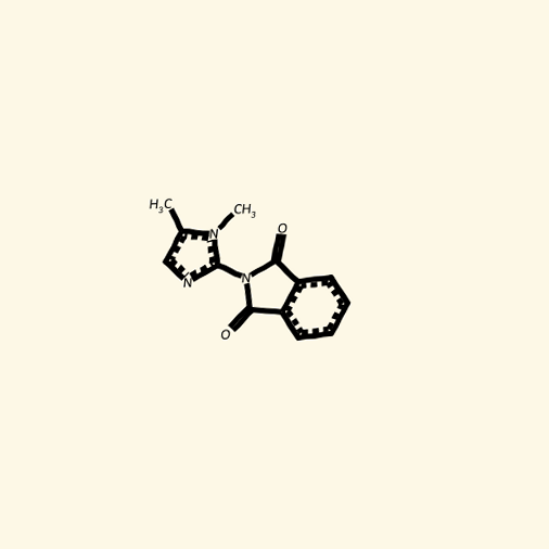 Cc1cnc(N2C(=O)c3ccccc3C2=O)n1C